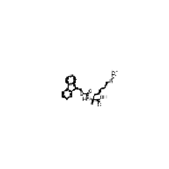 CC(CCCCCN=[N+]=[N-])(NC(=O)OCC1c2ccccc2-c2ccccc21)C(=O)O